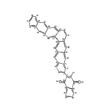 CC1=C(c2ccc3cc4cc5c(ccc6cc7cc8ccccc8cc7cc65)cc4cc3c2)C(=O)c2ccccc2C1=O